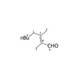 CCCCCC(C)=C(C)C=O